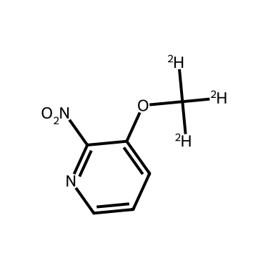 [2H]C([2H])([2H])Oc1cccnc1[N+](=O)[O-]